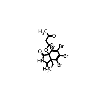 CCC12C(=O)NC(=O)C1(OC(=O)CC(C)=O)C(Br)=C(Br)C(Br)=C2Br